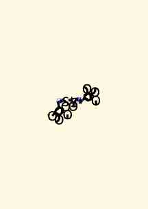 COc1cc(/C=C\[S+]([O-])C[S+]([O-])/C=C/c2cc(OC)c(OC)c(OC)c2)cc(OC)c1OC